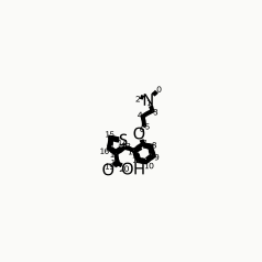 CN(C)CCCOc1ccccc1-c1sccc1C(=O)O